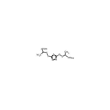 CCCCCCC(C)SOc1nnc(OSC(C)CCCCCC)s1